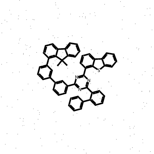 CC1(C)c2ccccc2-c2cccc(-c3cccc(-c4cccc(-c5nc(-c6ccccc6-c6ccccc6)nc(-c6cccc7c6sc6ccccc67)n5)c4)c3)c21